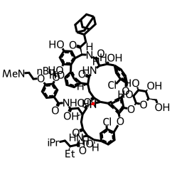 CCCCOc1cc(C(=O)NC(=O)C[C@@H]2CC(=O)[C@H](NC(=O)[C@H](CC)CC(C)C)[C@H](O)c3ccc(c(Cl)c3)Oc3cc4cc(c3O[C@@H]3O[C@H](CO)[C@@H](O)[C@H](O)[C@H]3O)Oc3ccc(cc3Cl)[C@@H](O)[C@@H]3NC(=O)[C@H](CC(=O)[C@@H]4NC2=O)c2ccc(O)c(c2)-c2c(O)cc(O)cc2[C@@H](C(=O)CC2C4CC5CC(C4)CC2C5)NC3=O)ccc1OCCNC